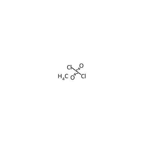 C.O=S(=O)(Cl)Cl